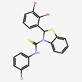 S=C(Nc1cccc(Cl)c1)N1c2ccccc2SC1c1cccc(Br)c1Br